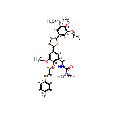 COc1cc(C2CCC(c3cc(OC)c(OC)c(OC)c3)S2)cc(CNC(=O)N(C)O)c1OCCSc1ccc(Cl)cc1